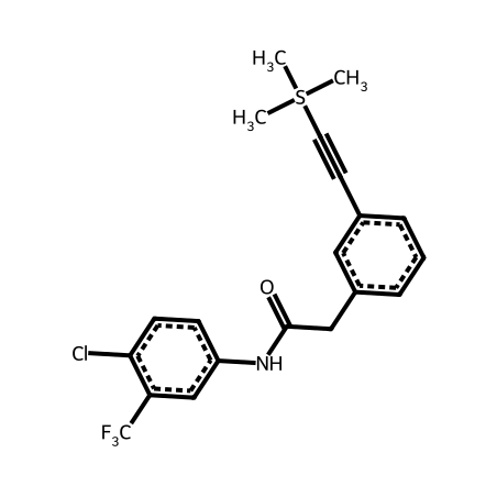 CS(C)(C)C#Cc1cccc(CC(=O)Nc2ccc(Cl)c(C(F)(F)F)c2)c1